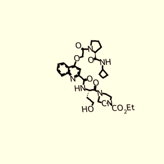 CCOC(=O)N1CCN(C(=O)[C@H](CCO)NC(=O)c2cc(OCC(=O)N3CCC[C@H]3C(=O)NC3CCC3)c3ccccc3n2)CC1